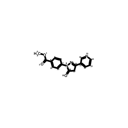 COC(=O)c1ccc(N2N=C(c3cccnc3)CC2=O)cc1